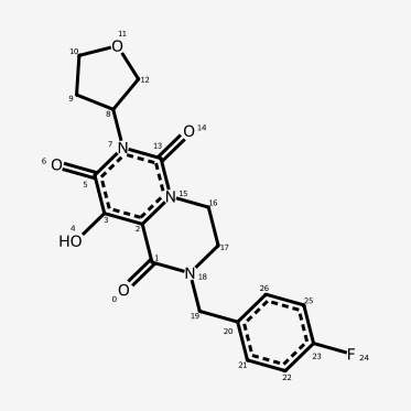 O=C1c2c(O)c(=O)n(C3CCOC3)c(=O)n2CCN1Cc1ccc(F)cc1